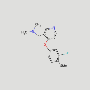 CSc1ccc(Oc2ccncc2CN(C)C)cc1F